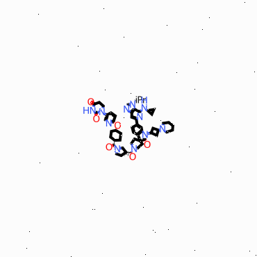 CC(C)n1cnc2cc(-c3ccc4c(c3)N(C3CC(N5CCCCC5)C3)C(=O)C43CCN(C(=O)[C@@H]4CCN(C(=O)[C@H]5CC[C@H](Oc6ccc(N7CCC(=O)NC7=O)cn6)CC5)C4)CC3)nc(NC3CC3)c21